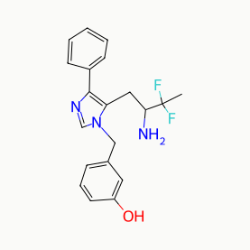 CC(F)(F)C(N)Cc1c(-c2ccccc2)ncn1Cc1cccc(O)c1